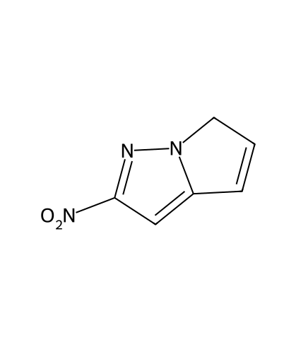 O=[N+]([O-])c1cc2n(n1)CC=C2